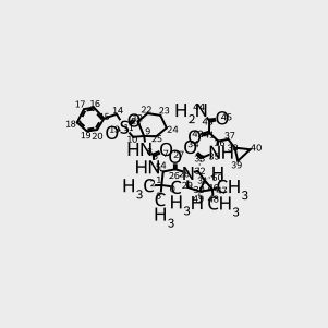 CC(C)(C)[C@H](NC(=O)NC1(CS(=O)(=O)Cc2ccccc2)CCCCC1)C(=O)N1C[C@H]2[C@@H]([C@H]1C(=O)NC(CC1CC1)C(=O)C(N)=O)C2(C)C